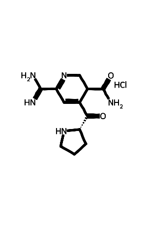 Cl.N=C(N)C1=NCC(C(N)=O)C(C(=O)[C@@H]2CCCN2)=C1